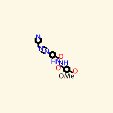 COC(=O)c1ccc(C(=O)NNC(=O)c2ccc(N3CCN(Cc4ccncc4)CC3)cc2)cc1